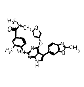 Cc1nc2ccc(-c3c[nH]c4nc(Nc5ccc(C(=O)N(C)C)cc5C)nc(O[C@H]5CCOC5)c34)cc2o1